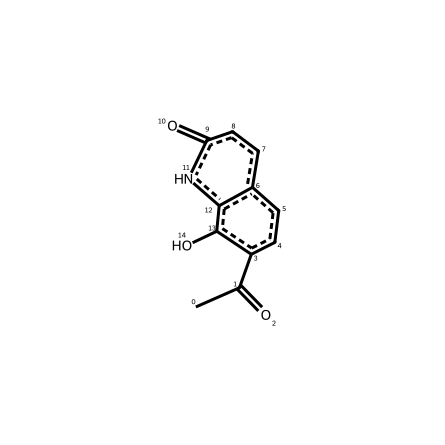 CC(=O)c1ccc2ccc(=O)[nH]c2c1O